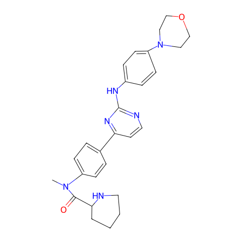 CN(C(=O)C1CCCCN1)c1ccc(-c2ccnc(Nc3ccc(N4CCOCC4)cc3)n2)cc1